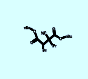 CCCCOC(=O)C(C(C)C)C(C#N)(C(=O)OCCCC)C(C)C